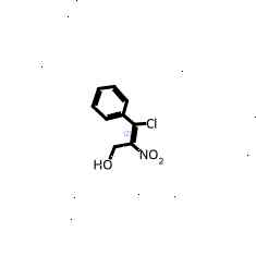 O=[N+]([O-])/C(CO)=C(\Cl)c1ccccc1